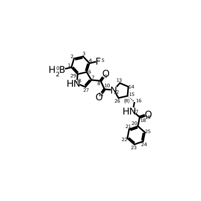 Bc1ccc(F)c2c(C(=O)C(=O)N3CC[C@H](CNC(=O)c4ccccc4)C3)c[nH]c12